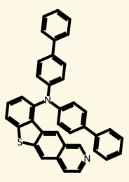 c1ccc(-c2ccc(N(c3ccc(-c4ccccc4)cc3)c3cccc4sc5cc6ccncc6cc5c34)cc2)cc1